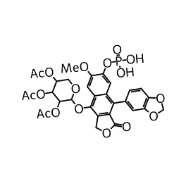 COc1cc2c(OC3OCC(OC(C)=O)C(OC(C)=O)C3OC(C)=O)c3c(c(-c4ccc5c(c4)OCO5)c2cc1OP(=O)(O)O)C(=O)OC3